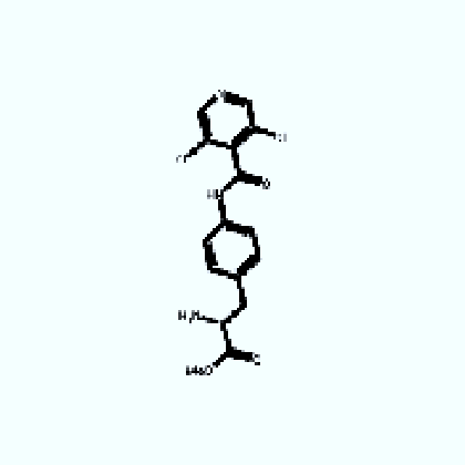 COC(=O)[C@@H](N)Cc1ccc(NC(=O)c2c(Cl)cncc2Cl)cc1